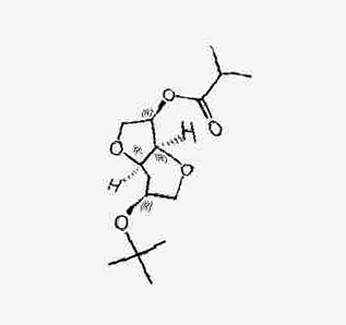 CC(C)C(=O)O[C@@H]1CO[C@H]2[C@@H]1OC[C@H]2OC(C)(C)C